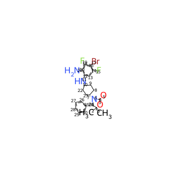 CC1(C)OC(=O)N([C@H]2CC[C@H](Nc3cc(F)c(Br)c(F)c3N)CC2)[C@H]1c1ccccc1